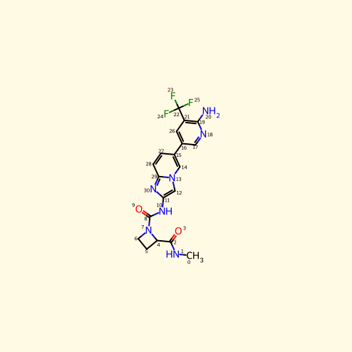 CNC(=O)C1CCN1C(=O)Nc1cn2cc(-c3cnc(N)c(C(F)(F)F)c3)ccc2n1